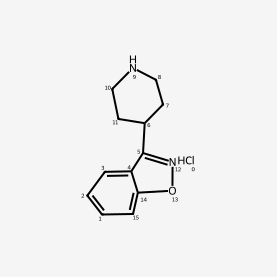 Cl.c1ccc2c(C3CCNCC3)noc2c1